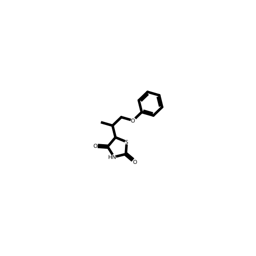 CC(COc1ccccc1)C1SC(=O)NC1=O